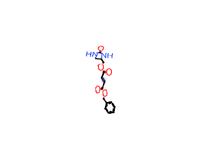 O=C1NCC(COC(=O)/C=C/C(=O)OCc2ccccc2)N1